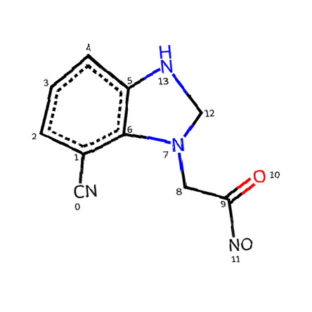 N#Cc1cccc2c1N(CC(=O)N=O)CN2